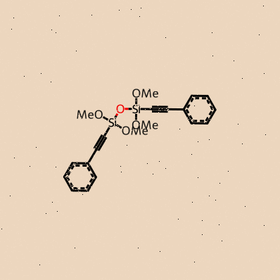 CO[Si](C#Cc1ccccc1)(OC)O[Si](C#Cc1ccccc1)(OC)OC